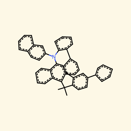 CC1(C)c2ccc(-c3ccccc3)cc2-c2cc(N(c3ccc4ccccc4c3)c3ccccc3-c3ccccc3)c3ccccc3c21